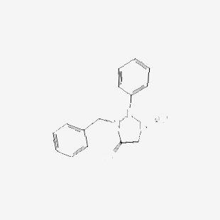 O=C1[CH][N+](=O)N(c2ccccc2)N1Cc1ccccc1